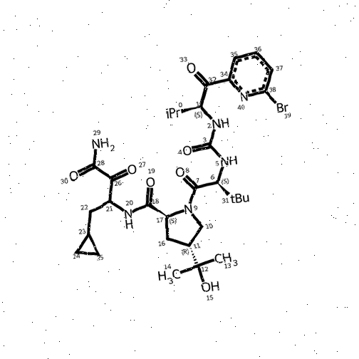 CC(C)[C@H](NC(=O)N[C@H](C(=O)N1C[C@H](C(C)(C)O)C[C@H]1C(=O)NC(CC1CC1)C(=O)C(N)=O)C(C)(C)C)C(=O)c1cccc(Br)n1